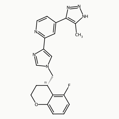 Cc1[nH]nnc1-c1ccnc(-c2cn(C[C@H]3CCOc4cccc(F)c43)cn2)c1